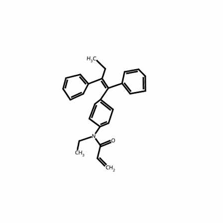 C=CC(=O)N(CC)c1ccc(C(=C(CC)c2ccccc2)c2ccccc2)cc1